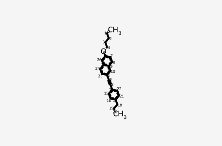 CCCCCOc1ccc2cc(C#Cc3ccc(CCC)cc3)ccc2c1